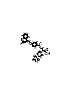 Cc1cc(COc2ccc(C(=O)NCC(C(=O)O)N3CCN(S(=O)(=O)C(C)C)CC3)cc2)c2ccccc2n1